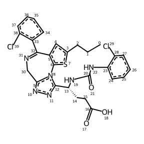 CCCc1cc2c(s1)-n1c(nnc1[C@@H](CCC(=O)O)NC(=O)Nc1ccccc1Cl)CN=C2c1ccccc1Cl